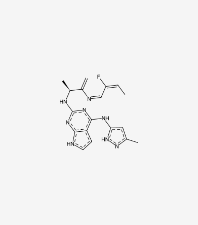 C=C(/N=C\C(F)=C/C)[C@H](C)Nc1nc(Nc2cc(C)n[nH]2)c2cc[nH]c2n1